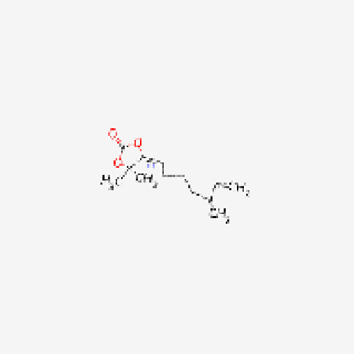 C=CC(=C)CCC/C=C1/OC(=O)OC1(C)C